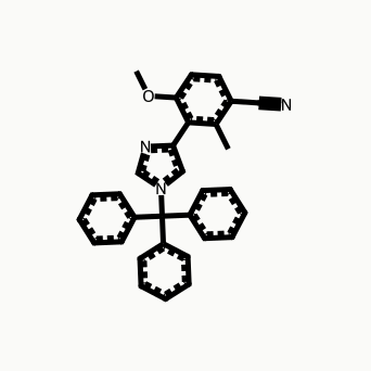 COc1ccc(C#N)c(C)c1-c1cn(C(c2ccccc2)(c2ccccc2)c2ccccc2)cn1